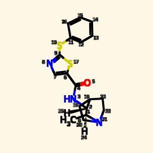 C[C@H]1[C@H](NC(=O)c2cnc(Sc3ccccc3)s2)C2CCN1CC2